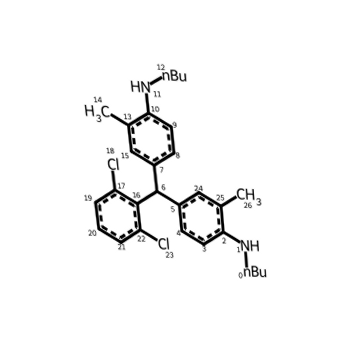 CCCCNc1ccc(C(c2ccc(NCCCC)c(C)c2)c2c(Cl)cccc2Cl)cc1C